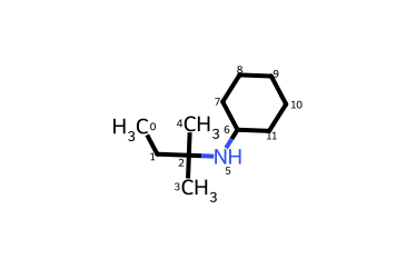 CCC(C)(C)NC1CCCCC1